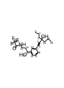 CCCC(O)(C#Cc1cccc([C@@H](O)CCNC(=O)C(F)(F)F)c1)CCC